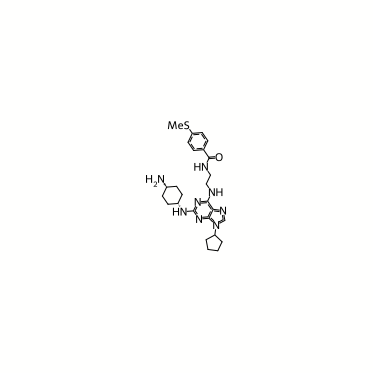 CSc1ccc(C(=O)NCCNc2nc(N[C@H]3CC[C@H](N)CC3)nc3c2ncn3C2CCCC2)cc1